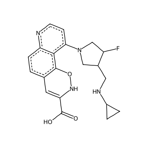 O=C(O)C1=Cc2ccc3nccc(N4CC(F)C(CNC5CC5)C4)c3c2ON1